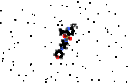 O=S(=O)(c1ccc(C(F)(F)F)nc1C1CC1)N1CC2(CN(C3CCOCC3)C2)C1